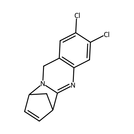 Clc1cc2c(cc1Cl)N=C1C3C=CC(C3)N1C2